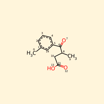 Cc1cccc(C(=O)C(C)CC(=O)O)c1